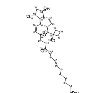 CCCCCCCCCCCCCCCC=CCOC(=O)CCC/C=C\C[C@@H]1[C@@H](/C=C\C[C@H](O)C2(CC)CCC2)[C@H](O)C[C@H]1Cl